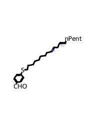 CCCCC/C=C/C/C=C/CCCCCCCCSc1ccc(C=O)cc1